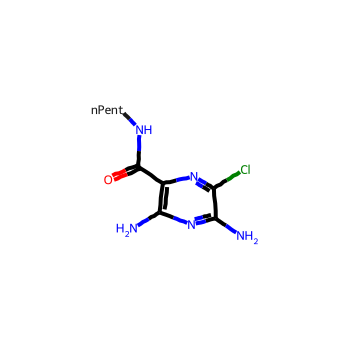 CCCCCNC(=O)c1nc(Cl)c(N)nc1N